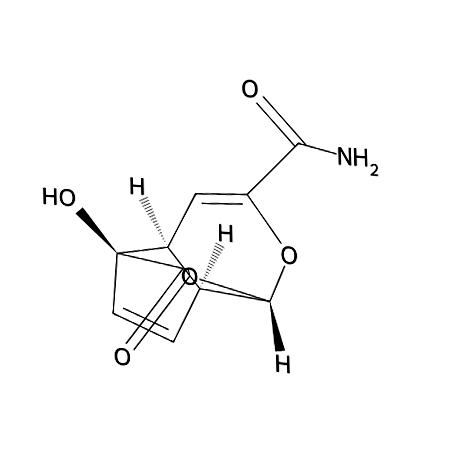 NC(=O)C1=C[C@H]2[C@@H]3C=C[C@@]2(O)C(=O)O[C@@H]3O1